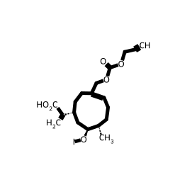 C#CCOC(=O)OC/C1=C/CC[C@H](C)[C@@H](OI)C[C@H](C(=C)C(=O)O)CC1